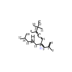 C=C(C)/C=C(\C=C=C(C)C(C)(C)F)CNCC(C)C